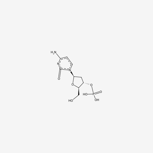 Nc1ccn([C@H]2C[C@H](OP(=O)(O)O)[C@@H](CO)O2)c(=O)n1